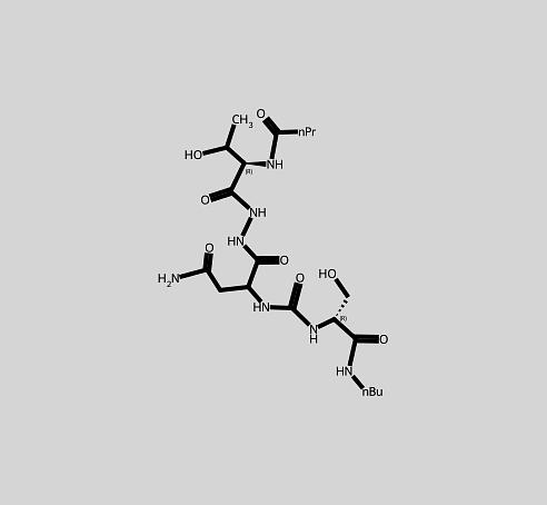 CCCCNC(=O)[C@@H](CO)NC(=O)NC(CC(N)=O)C(=O)NNC(=O)[C@H](NC(=O)CCC)C(C)O